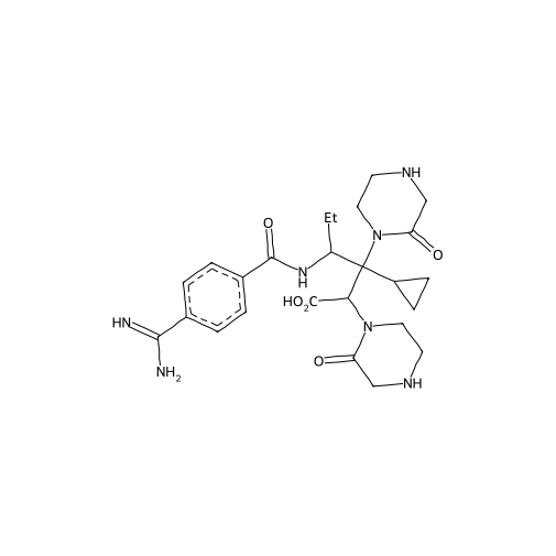 CCC(NC(=O)c1ccc(C(=N)N)cc1)C(C1CC1)(C(C(=O)O)N1CCNCC1=O)N1CCNCC1=O